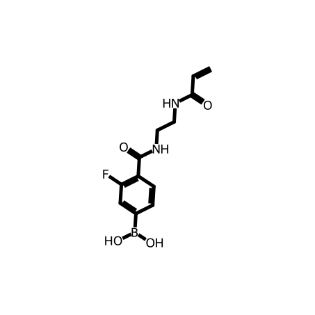 C=CC(=O)NCCNC(=O)c1ccc(B(O)O)cc1F